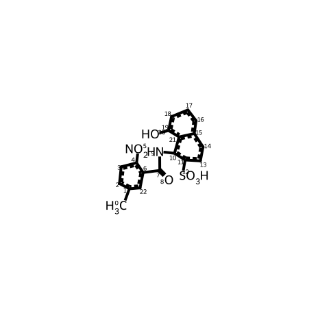 Cc1ccc([N+](=O)[O-])c(C(=O)Nc2c(S(=O)(=O)O)ccc3cccc(O)c23)c1